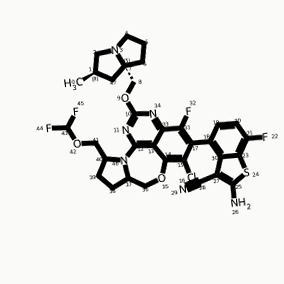 C[C@H]1CN2CCC[C@@]2(COc2nc3c4c(c(Cl)c(-c5ccc(F)c6sc(N)c(C#N)c56)c(F)c4n2)OCC2CCC(COC(F)F)N32)C1